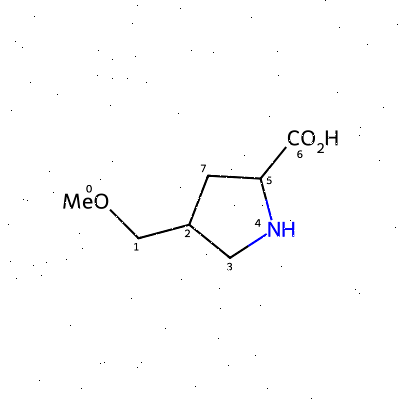 COCC1CNC(C(=O)O)C1